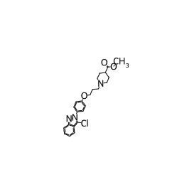 COC(=O)C1CCN(CCCOc2ccc(-n3nc4ccccc4c3Cl)cc2)CC1